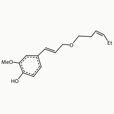 CC/C=C\CCOCC=Cc1ccc(O)c(OC)c1